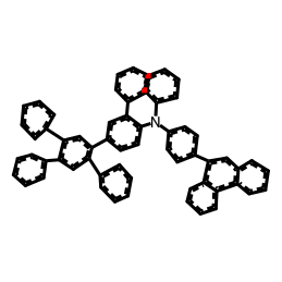 c1ccc(-c2cc(-c3ccccc3)c(-c3ccc(N(c4ccccc4)c4ccc(-c5cc6ccccc6c6ccccc56)cc4)c(-c4ccccc4)c3)cc2-c2ccccc2)cc1